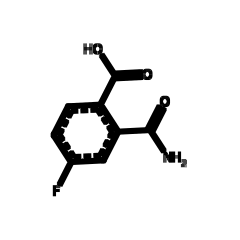 NC(=O)c1cc(F)ccc1C(=O)O